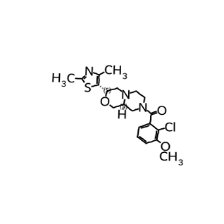 COc1cccc(C(=O)N2CCN3C[C@@H](c4sc(C)nc4C)OC[C@@H]3C2)c1Cl